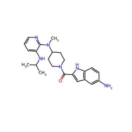 CC(C)Nc1cccnc1N(C)C1CCN(C(=O)c2cc3cc(N)ccc3[nH]2)CC1